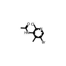 CC(=O)Nc1c(Cl)ncc(Br)c1C